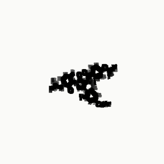 COc1cc(F)c([C@@H]2CN(c3c(C)ccn(CC(F)F)c3=O)C(=O)C2NC(=O)c2ccc(OC(F)F)cc2)c(F)c1